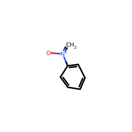 C=[N+]([O-])c1ccccc1